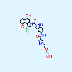 COc1cccc2c(O)cc3c(c12)[C@H](CCl)CN3C(=O)c1cc2cc(NC(=O)c3cn(CCOCCO)nn3)ccc2[nH]1